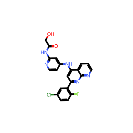 O=C(CO)Nc1cc(Nc2cc(-c3cc(Cl)ccc3F)nc3ncccc23)ccn1